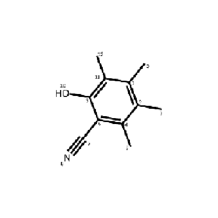 Cc1c(C)c(C)c(C#N)c(O)c1C